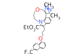 CCOC(=O)c1c(CCCOc2cccc3cc(C(F)(F)F)ccc23)c2cccc3c2n1CCCCOCc1c-3c(C)nn1C